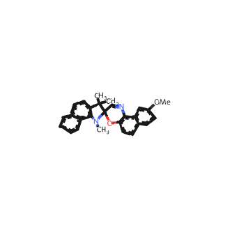 COc1ccc2ccc3c(c2c1)N=CC1(O3)N(C)c2c(ccc3ccccc23)C1(C)C